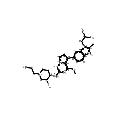 COc1nc(N[C@@H]2CCN(CCF)C[C@@H]2F)nn2ccc(-c3ccc4nc(C)n(CC(F)F)c4c3)c12